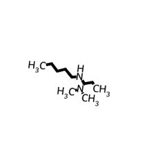 CCCCCNC(CC)N(C)C